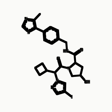 Cc1ncsc1-c1ccc(CNC(=O)C2CC(O)CN2C(=O)C(C2CCC2)n2cc(I)cn2)cc1